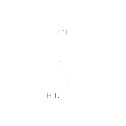 NSOSN